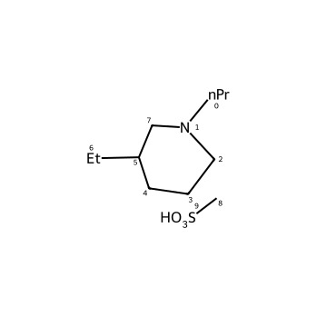 CCCN1CCCC(CC)C1.CS(=O)(=O)O